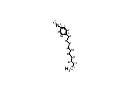 [C-]#[N+]c1ccc(CCCCCCCCCC)cc1